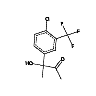 CC(=O)C(C)(O)c1ccc(Cl)c(C(F)(F)F)c1